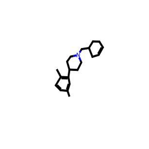 Cc1ccc(C)c(C2CCN(CC3CC=CCC3)CC2)c1